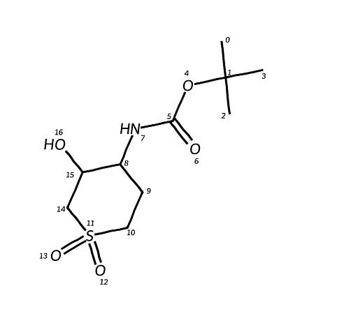 CC(C)(C)OC(=O)NC1CCS(=O)(=O)CC1O